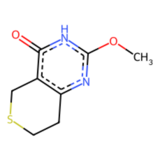 COc1nc2c(c(=O)[nH]1)CSCC2